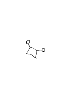 ClC1[CH]CC1Cl